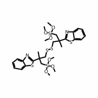 CO[Si](CC(C)(CSSCC(C)(C[Si](OC)(OC)OC)c1nc2ccccc2s1)c1nc2ccccc2s1)(OC)OC